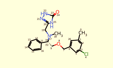 Cc1cc(Cl)cc(COC[C@H](c2ccccc2)N(C)Cc2n[nH]c(=O)[nH]2)c1